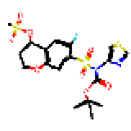 CC(C)(C)OC(=O)N(c1cscn1)S(=O)(=O)c1cc2c(cc1F)[C@H](OS(C)(=O)=O)CCO2